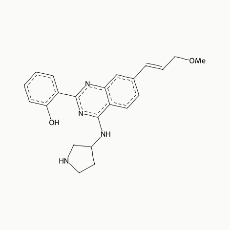 COCC=Cc1ccc2c(NC3CCNC3)nc(-c3ccccc3O)nc2c1